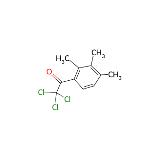 Cc1ccc(C(=O)C(Cl)(Cl)Cl)c(C)c1C